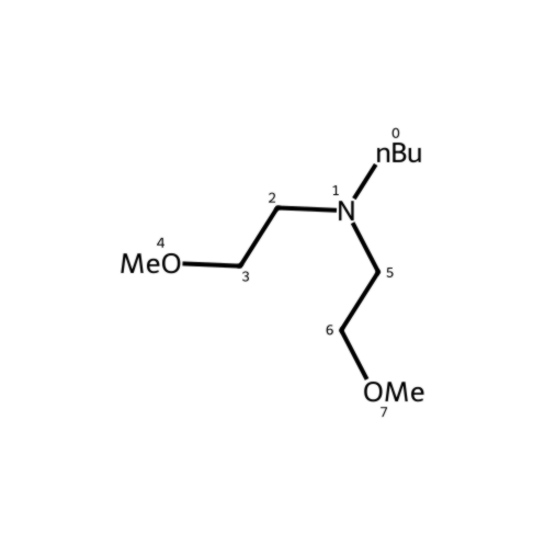 [CH2]CCCN(CCOC)CCOC